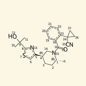 C[C@@H]1CC[C@@H](c2csc(C(C)(C)O)n2)CN1C(=O)c1ccccc1C1(C#N)CC1